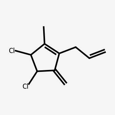 C=CCC1=C(C)C(Cl)C(Cl)C1=C